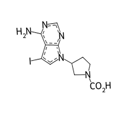 Nc1ncnc2c1c(I)cn2C1CCN(C(=O)O)C1